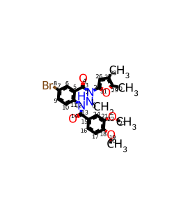 C=NN(C(=O)c1cc(Br)ccc1NC(=O)c1ccc(OC)c(OC)c1)c1cc(C)c(C)o1